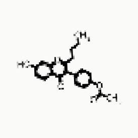 CCCCc1oc2cc(O)ccc2c(=O)c1-c1ccc(OC(C)=O)cc1